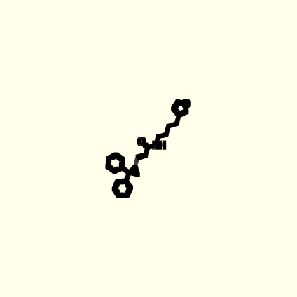 O=C(/C=C/[C@@H]1CC1(c1ccccc1)c1ccccc1)NCCCCc1ccoc1